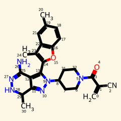 C=C(C#N)C(=O)N1CCC(n2nc3c(c2-c2oc4ccc(C)cc4c2C)C(N)=NNC3C)CC1